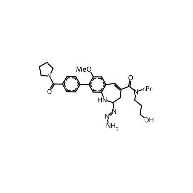 CCCN(CCCO)C(=O)C1=Cc2cc(OC)c(-c3ccc(C(=O)N4CCCC4)cc3)cc2NC(N=NN)C1